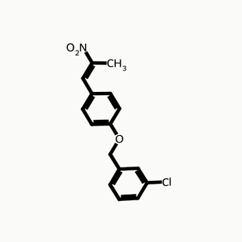 CC(=Cc1ccc(OCc2cccc(Cl)c2)cc1)[N+](=O)[O-]